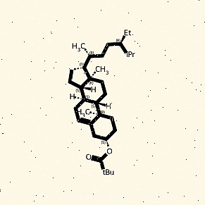 CC[C@H](CC[C@@H](C)[C@H]1CC[C@H]2[C@@H]3CC=C4C[C@@H](OC(=O)C(C)(C)C)CC[C@]4(C)[C@H]3CC[C@]12C)C(C)C